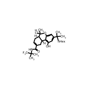 CCCCCCC(C)(C)c1cc(O)c2c(c1)OC(C)(C)[C@@H]1CC=C(C(=O)NC(C)(C)C(F)(F)F)C[C@@H]21